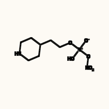 O=[N+]([O-])O[N+]([O-])(O)OCCC1CCNCC1